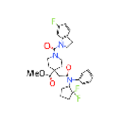 COC(=O)C1(CC(=O)N(c2ccccc2)C2CCCC2(F)F)CCN(C(=O)N2CCc3ccc(F)cc32)CC1